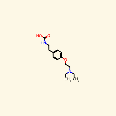 CCN(CC)CCOc1ccc(CCNC(=O)O)cc1